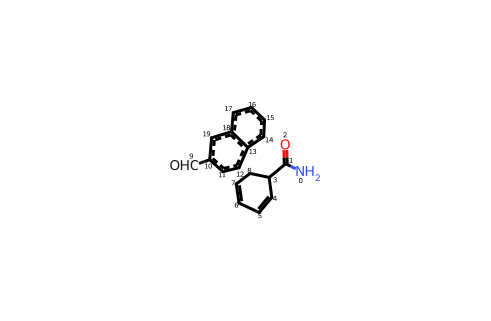 NC(=O)C1C=CC=CC1.O=Cc1ccc2ccccc2c1